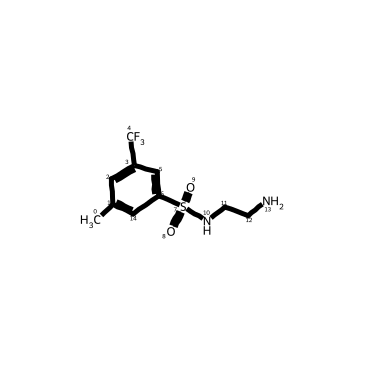 Cc1cc(C(F)(F)F)cc(S(=O)(=O)NCCN)c1